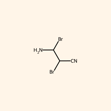 N#CC(Br)C(N)Br